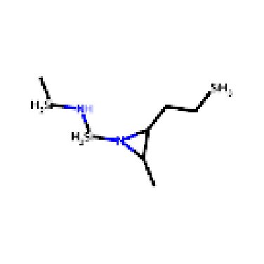 C[SiH2]N[SiH2]N1C(C)C1CC[SiH3]